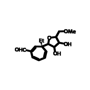 CC[C@]1(C2OC(COC)C(O)C2O)C=CC=CC(C=O)=C1